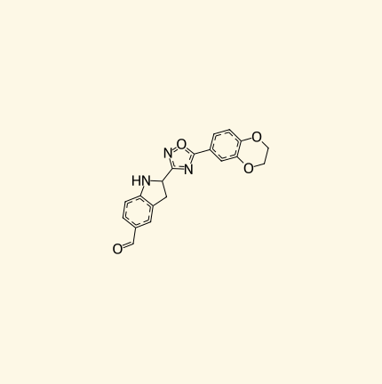 O=Cc1ccc2c(c1)CC(c1noc(-c3ccc4c(c3)OCCO4)n1)N2